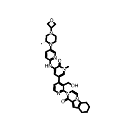 C[C@@H]1CN(C2COC2)CCN1c1ccc(Nc2cc(-c3ccnc(-n4ccn5c6c(cc5c4=O)CCCC6)c3CO)cn(C)c2=O)nc1